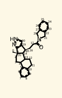 C[C@]12CCC3c4ccccc4CCC3C1[C@H](CCC(=O)N1Cc3ccccc3C1)c1c[nH]nc12